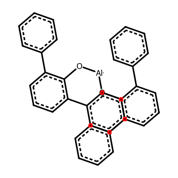 c1ccc(-c2cccc(-c3ccccc3)c2[O][Al][O]c2c(-c3ccccc3)cccc2-c2ccccc2)cc1